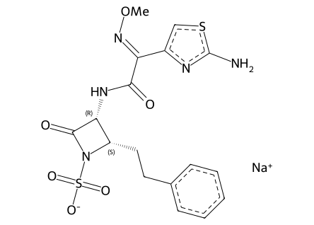 CON=C(C(=O)N[C@H]1C(=O)N(S(=O)(=O)[O-])[C@H]1CCc1ccccc1)c1csc(N)n1.[Na+]